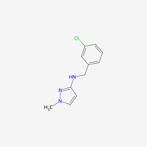 Cn1[c]cc(NCc2cccc(Cl)c2)n1